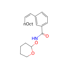 CCCCCCCC/C=C\c1cccc(C(=O)NOC2CCCCO2)c1